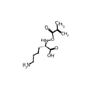 C=C(C)C(=O)ON[C@@H](CCCCN)C(=O)O